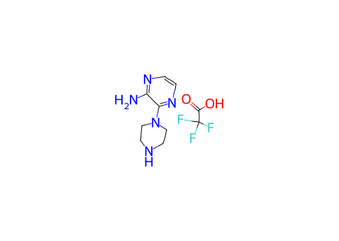 Nc1nccnc1N1CCNCC1.O=C(O)C(F)(F)F